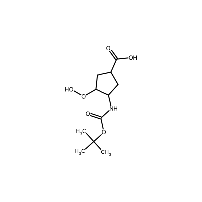 CC(C)(C)OC(=O)NC1CC(C(=O)O)CC1OO